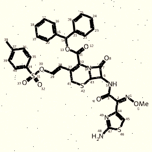 CON=C(C(=O)NC1C(=O)N2C(C(=O)OC(c3ccccc3)c3ccccc3)=C(C=COS(=O)(=O)c3ccc(C)cc3)CSC12)c1csc(N)n1